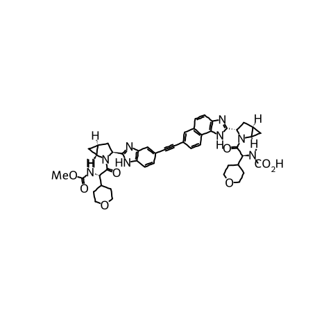 COC(=O)N[C@H](C(=O)N1[C@@H]2C[C@H]2C[C@H]1c1nc2cc(C#Cc3ccc4c(ccc5nc([C@@H]6C[C@H]7C[C@H]7N6C(=O)[C@H](C6CCOCC6)N(C)C(=O)O)[nH]c54)c3)ccc2[nH]1)C1CCOCC1